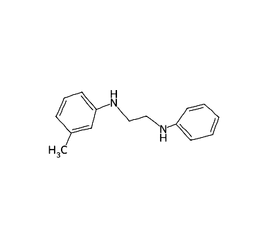 Cc1cccc(NCCNc2ccccc2)c1